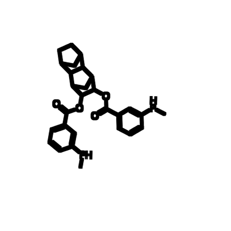 CPc1cccc(C(=O)OC2C3CC(C2OC(=O)c2cccc(PC)c2)C2C4CCC(C4)C32)c1